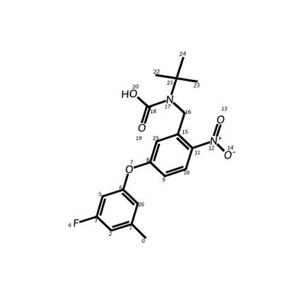 Cc1cc(F)cc(Oc2ccc([N+](=O)[O-])c(CN(C(=O)O)C(C)(C)C)c2)c1